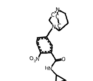 O=C(NC1CC1)c1cc(N2CCN3CCC2CC3)ccc1[N+](=O)[O-]